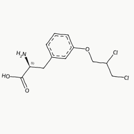 N[C@@H](Cc1cccc(OCC(Cl)CCl)c1)C(=O)O